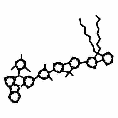 CCCCCCCCC1(CCCCCCCC)c2ccccc2-c2ccc(-c3ccc4c(c3)C(C)(C)c3cc(-c5c(C)cc(-c6ccc7c(c6)B(c6c(C)cc(C)cc6C)c6cccc8c9ccccc9n-7c68)cc5C)ccc3-4)cc21